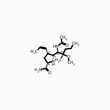 C/C=C\[C@@H]1C[C@H](C(N)=O)N[C@H]1[C@@H](NC(C)=O)[C@](C)(CCC)OC